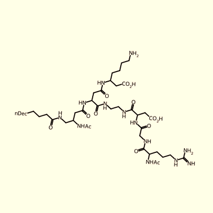 CCCCCCCCCCCCCC(=O)NCC(CC(=O)NC(CC(=O)NC(CCCCN)CC(=O)O)C(=O)NCCNC(=O)C(CC(=O)O)NC(=O)CNC(=O)C(CCCNC(=N)N)NC(C)=O)NC(C)=O